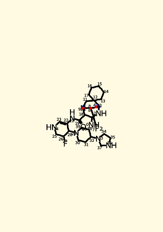 NC1NC2/C=C/C(F)C/N=C(\CC23CCCCC3)C1C(=O)NC1=CNCC(F)C1N1CCC(N2CCNC2)CC1